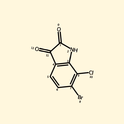 O=C1Nc2c(ccc(Br)c2Cl)C1=O